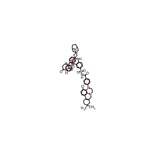 CC1(C)CCC(c2ccc(Cl)cc2)=C(CN2CCN(c3ccc(C(=O)NS(=O)(=O)c4ccc(N[C@H](CCN5C6CCC5CN(Cc5ccc(N7CCC(=O)NC7=O)nc5)C6)CSc5ccccc5)c(S(=O)(=O)C(F)(F)F)c4)cc3)CC2)C1